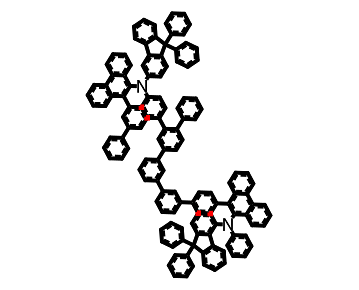 c1ccc(-c2cccc(-c3c(N(c4ccc(-c5cc(-c6cccc(-c7cccc(-c8ccc(-c9c(N(c%10ccccc%10)c%10cccc%11c%10-c%10ccccc%10C%11(c%10ccccc%10)c%10ccccc%10)c%10ccccc%10c%10ccccc9%10)cc8)c7)c6)ccc5-c5ccccc5)cc4)c4ccc5c(c4)-c4ccccc4C5(c4ccccc4)c4ccccc4)c4ccccc4c4ccccc34)c2)cc1